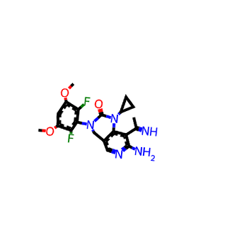 COc1cc(OC)c(F)c(N2Cc3cnc(N)c(C(C)=N)c3N(C3CC3)C2=O)c1F